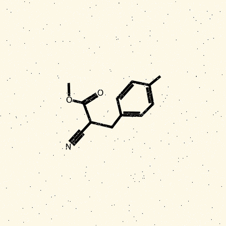 COC(=O)C(C#N)Cc1ccc(C)cc1